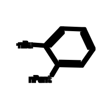 CCC[CH]c1ccccc1CCCCC